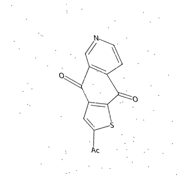 CC(=O)c1cc2c(s1)C(=O)c1ccncc1C2=O